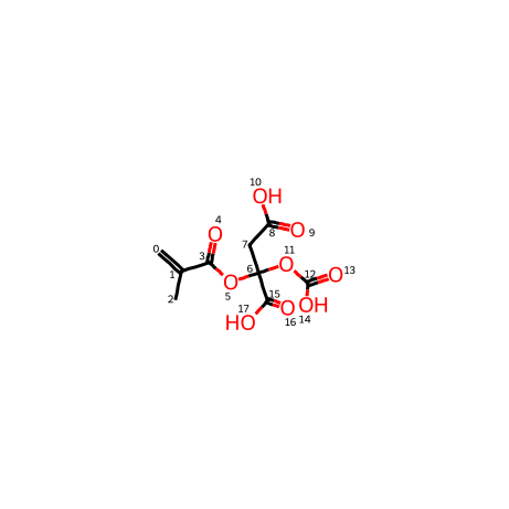 C=C(C)C(=O)OC(CC(=O)O)(OC(=O)O)C(=O)O